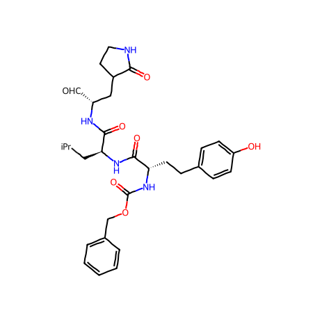 CC(C)C[C@H](NC(=O)[C@H](CCc1ccc(O)cc1)NC(=O)OCc1ccccc1)C(=O)N[C@H](C=O)CC1CCNC1=O